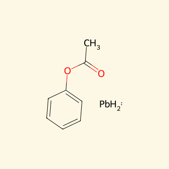 CC(=O)Oc1ccccc1.[PbH2]